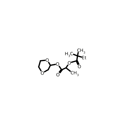 CCC(C)(C)C(=O)OC(C)C(=O)OC1COCCO1